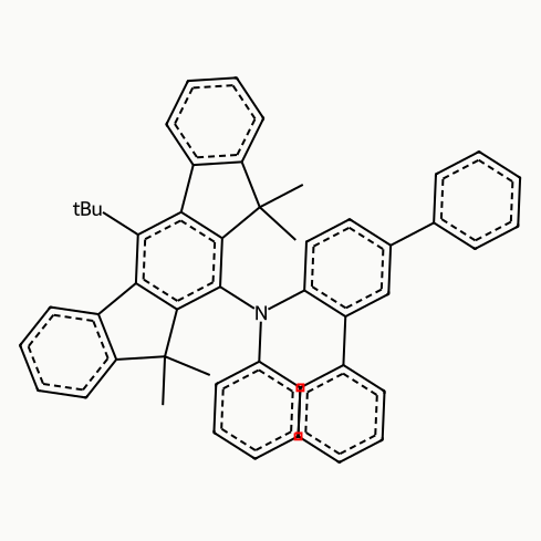 CC(C)(C)c1c2c(c(N(c3ccccc3)c3ccc(-c4ccccc4)cc3-c3ccccc3)c3c1-c1ccccc1C3(C)C)C(C)(C)c1ccccc1-2